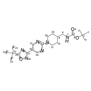 CC(C)(C)OC(=O)NCC1CCN(c2ncc(-c3noc(C(F)(F)F)n3)cn2)CC1